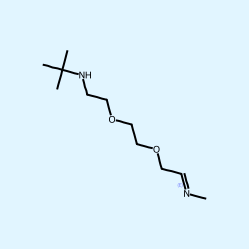 C/N=C/COCCOCCNC(C)(C)C